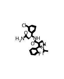 CC(I)n1ncc(C(=O)N[C@@H](CC(N)=O)c2cccc(Cl)c2)c1-c1ccccc1F